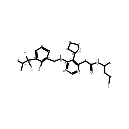 CC(CCF)NC(=O)Cc1ncnc(NCc2cccc(C(F)(F)C(C)C)c2F)c1C1CCCO1